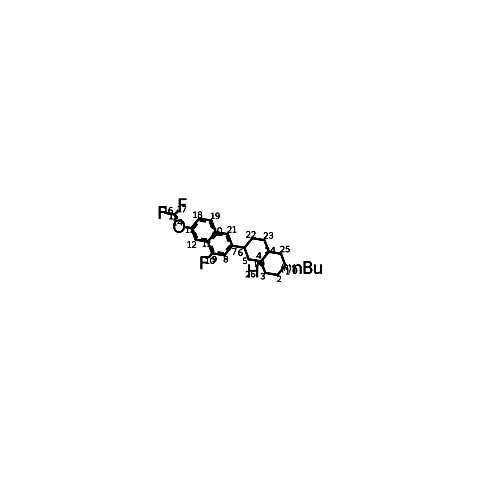 CCCC[C@@H]1CC[C@@H]2CC(c3cc(F)c4cc(OC(F)F)ccc4c3)CCC2C1